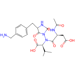 CC(=O)N[C@@H](CC(=O)O)C(=O)N([C@H](C(=O)O)C(C)C)N1C(=O)NC(Cc2ccc(CN)cc2)C1=O